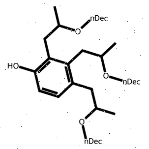 CCCCCCCCCCOC(C)Cc1ccc(O)c(CC(C)OCCCCCCCCCC)c1CC(C)OCCCCCCCCCC